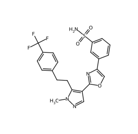 Cn1ncc(-c2nc(-c3cccc(S(N)(=O)=O)c3)co2)c1CCc1ccc(C(F)(F)F)cc1